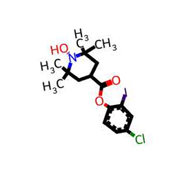 CC1(C)CC(C(=O)Oc2ccc(Cl)cc2I)CC(C)(C)N1O